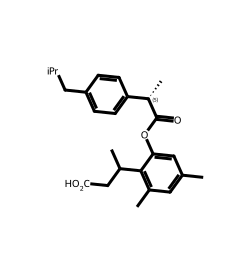 Cc1cc(C)c(C(C)CC(=O)O)c(OC(=O)[C@@H](C)c2ccc(CC(C)C)cc2)c1